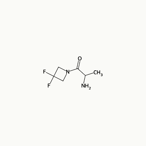 CC(N)C(=O)N1CC(F)(F)C1